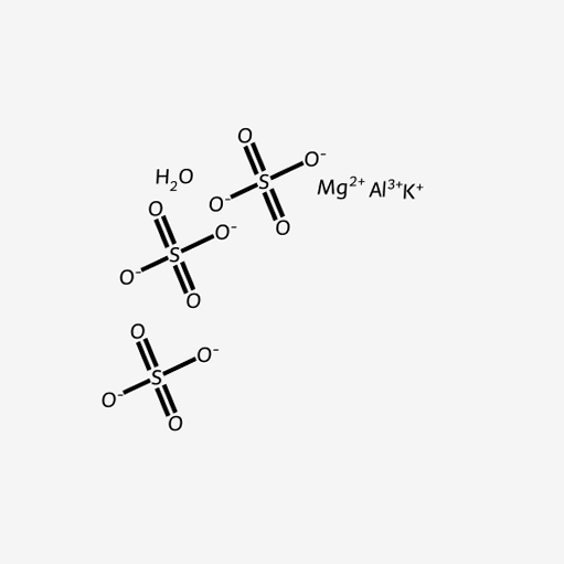 O.O=S(=O)([O-])[O-].O=S(=O)([O-])[O-].O=S(=O)([O-])[O-].[Al+3].[K+].[Mg+2]